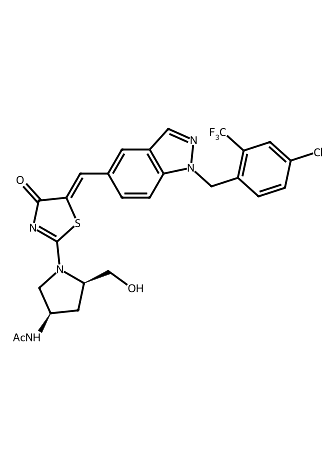 CC(=O)N[C@@H]1C[C@H](CO)N(C2=NC(=O)/C(=C/c3ccc4c(cnn4Cc4ccc(Cl)cc4C(F)(F)F)c3)S2)C1